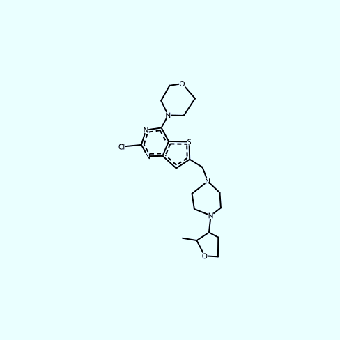 CC1OCCC1N1CCN(Cc2cc3nc(Cl)nc(N4CCOCC4)c3s2)CC1